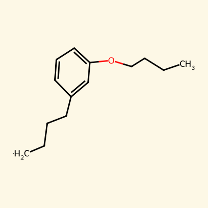 [CH2]CCCc1cccc(OCCCC)c1